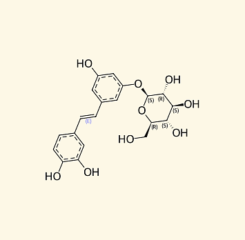 OC[C@H]1O[C@@H](Oc2cc(O)cc(/C=C/c3ccc(O)c(O)c3)c2)[C@H](O)[C@@H](O)[C@@H]1O